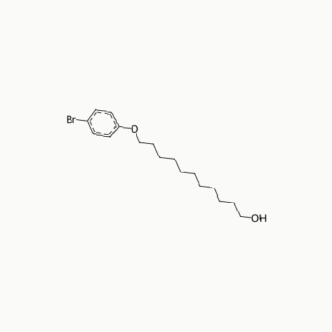 OCCCCCCCCCCCOc1ccc(Br)cc1